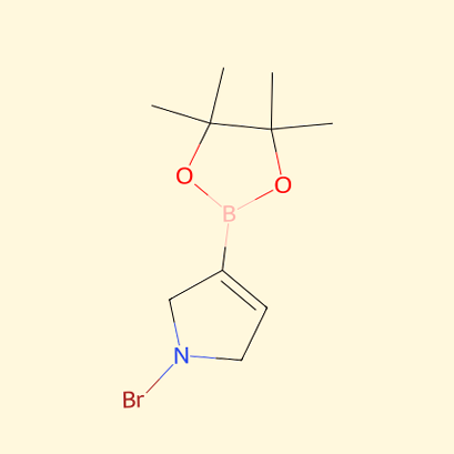 CC1(C)OB(C2=CCN(Br)C2)OC1(C)C